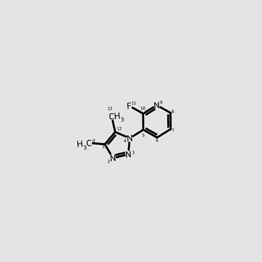 Cc1nnn(-c2cccnc2F)c1C